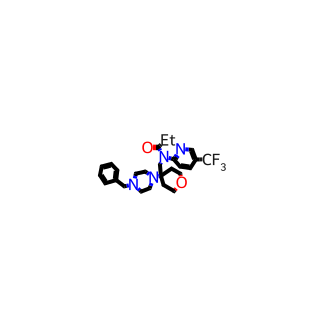 CCC(=O)N(CC1(N2CCN(Cc3ccccc3)CC2)CCOCC1)c1ccc(C(F)(F)F)cn1